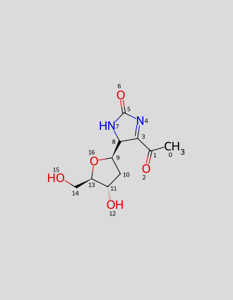 CC(=O)C1=NC(=O)NC1[C@H]1C[C@H](O)[C@@H](CO)O1